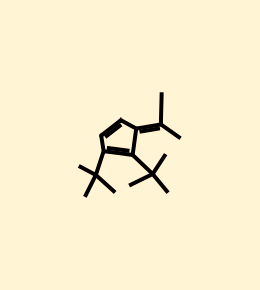 CC(C)=C1[C]=CC(C(C)(C)C)=C1C(C)(C)C